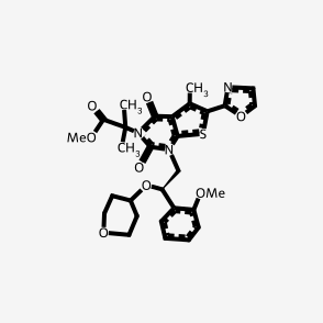 COC(=O)C(C)(C)n1c(=O)c2c(C)c(-c3ncco3)sc2n(C[C@H](OC2CCOCC2)c2ccccc2OC)c1=O